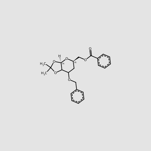 CC1(C)OC2C(OCc3ccccc3)C[C@H](COC(=O)c3ccccc3)O[C@@H]2O1